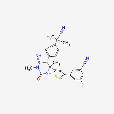 CN1C(=N)[C@H](c2ccc(C(C)(C)C#N)cc2)C(C)(c2cc(-c3cc(F)cc(C#N)c3)cs2)NC1=O